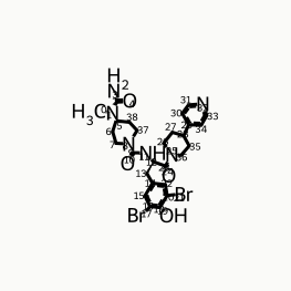 CN(C(N)=O)C1CCN(C(=O)N[C@H](Cc2cc(Br)c(O)c(Br)c2)C(=O)N2CCC(c3ccncc3)CC2)CC1